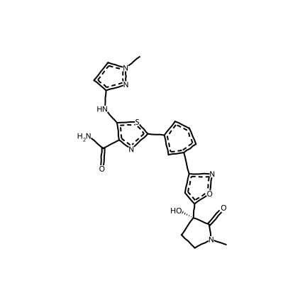 CN1CC[C@@](O)(c2cc(-c3cccc(-c4nc(C(N)=O)c(Nc5ccn(C)n5)s4)c3)no2)C1=O